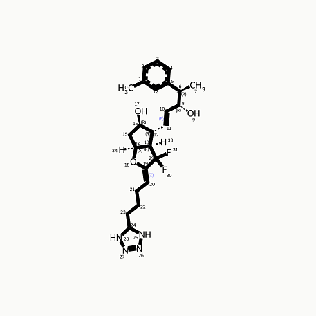 Cc1cccc([C@@H](C)[C@H](O)/C=C/[C@@H]2[C@@H]3[C@H](C[C@H]2O)O/C(=C\CCCC2NN=NN2)C3(F)F)c1